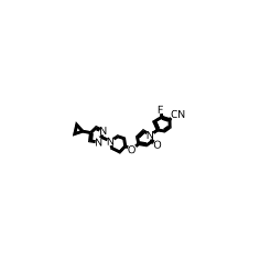 N#Cc1ccc(-n2ccc(OC3CCN(c4ncc(C5CC5)cn4)CC3)cc2=O)cc1F